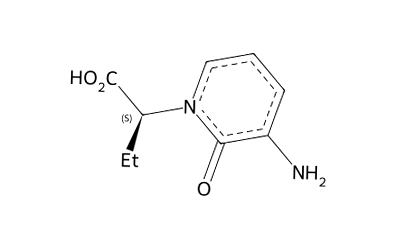 CC[C@@H](C(=O)O)n1cccc(N)c1=O